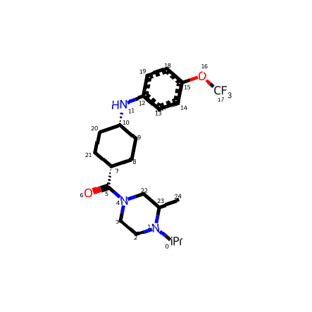 CC(C)N1CCN(C(=O)[C@H]2CC[C@@H](Nc3ccc(OC(F)(F)F)cc3)CC2)CC1C